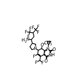 COC1c2c(c(=O)[nH]c(=O)n2C2CC2)C(C(F)F)=C(F)C1N1CCC(C(N)CC(C(F)(F)F)C(F)(F)F)C1